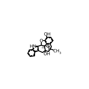 CN1CC[C@]23c4c5ccc(O)c4OC2c2[nH]c4ccccc4c2C[C@@]3(O)C1C5